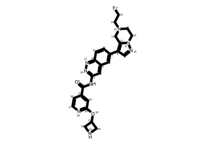 O=C(Nc1cc2cc(-c3cnn4c3CN(CCF)CC4)ccc2nn1)c1ccnc(OC2CNC2)c1